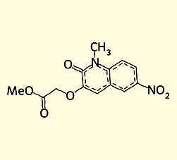 COC(=O)COc1cc2cc([N+](=O)[O-])ccc2n(C)c1=O